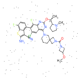 COC1CN(C(=O)N2CC3(CCCN(c4nc(O[C@@H](C)C5CCCN5C)nc5c(F)c(-c6ccc(F)c7sc(N)c(C#N)c67)c(Cl)cc45)C3)C2)C1